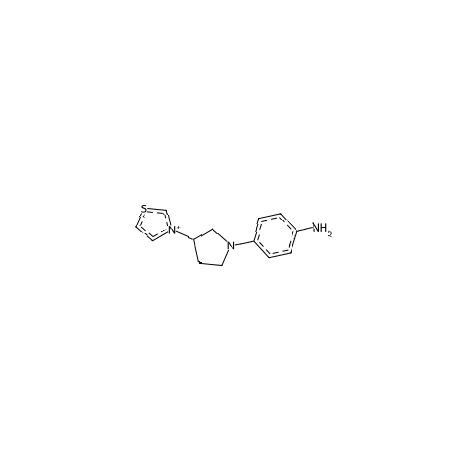 Nc1ccc(N2CCC([n+]3ccsc3)C2)cc1